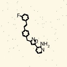 Nc1ncccc1-c1cc(Cc2ccc(C=Cc3cccc(F)c3)cc2)no1